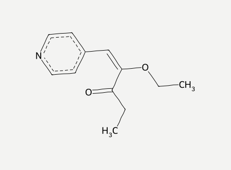 CCO/C(=C/c1ccncc1)C(=O)CC